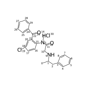 CC(Cc1ccccc1)NCC(=O)N(C)c1ccc(Cl)cc1C(=O)c1ccccc1.Cl